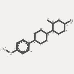 CCCOc1ccc(C2CCC(C3CCC(CC)CC3C)CC2)cc1